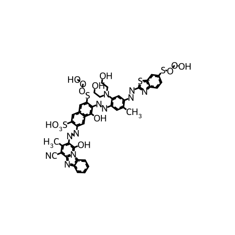 Cc1cc(N=Nc2c(SOOO)cc3cc(S(=O)(=O)O)c(N=Nc4c(C)c(C#N)c5nc6ccccc6n5c4O)cc3c2O)c(N(CCO)CCO)cc1N=Nc1nc2ccc(SOOO)cc2s1